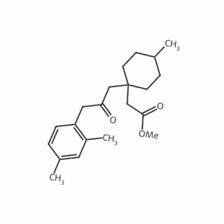 COC(=O)CC1(CC(=O)Cc2ccc(C)cc2C)CCC(C)CC1